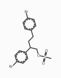 CS(=O)(=O)OCC(CCc1ccc(Br)cc1)c1ccc(Br)cc1